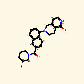 C[C@@H]1CCCN(C(=O)c2ccc3c(N4CCc5c(cc[nH]c5=O)C4)cccc3c2)C1